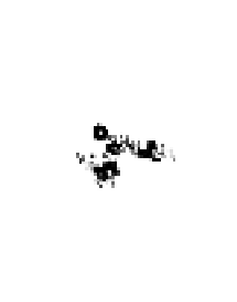 Cc1noc2nccc(Sc3cnc(Nc4nc(C5CCN(C)CC5)cs4)c(Oc4ccccc4)c3)c12